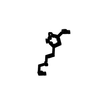 CC(C)(C)CSC=Cc1cc(C(C)(C)C)on1